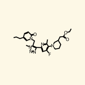 CCCc1ccc(=O)n(Cc2c(-c3cc(F)c(N4CCCC(CC(=O)OCC)C4)c(C)n3)nnn2C)c1